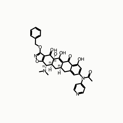 CC(=O)N(c1ccncc1)c1cc(O)c2c(c1)C[C@H]1C[C@H]3[C@H](N(C)C)c4onc(OCc5ccccc5)c4C(=O)[C@@]3(O)C(O)=C1C2=O